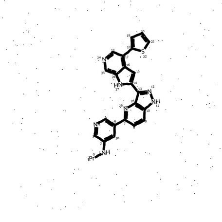 CC(C)Nc1cncc(-c2ccc3[nH]nc(-c4cc5c(-c6cccs6)cncc5[nH]4)c3n2)c1